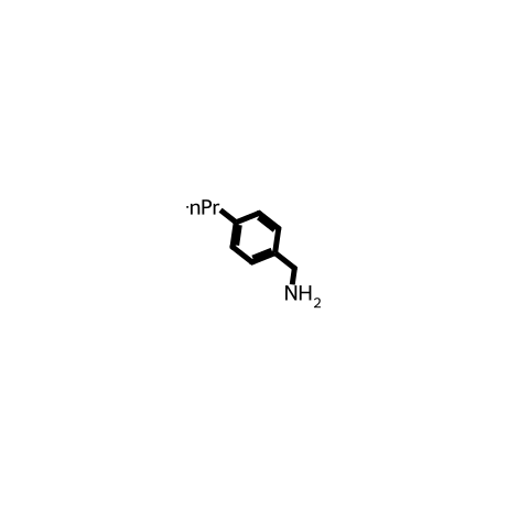 CC[CH]c1ccc(CN)cc1